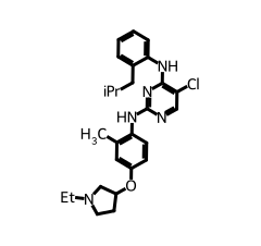 CCN1CCC(Oc2ccc(Nc3ncc(Cl)c(Nc4ccccc4CC(C)C)n3)c(C)c2)C1